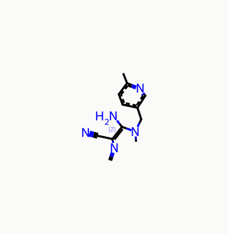 C=N/C(C#N)=C(/N)N(C)Cc1ccc(C)nc1